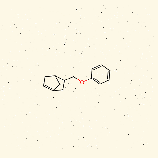 C1=C2CC(C1)C(COc1ccccc1)C2